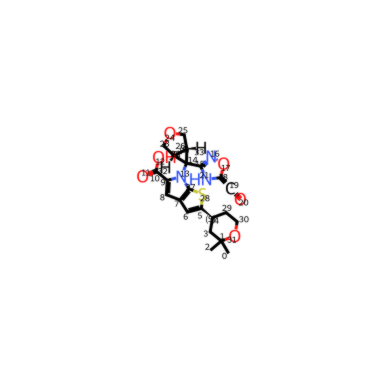 CC1(C)C[C@@H](c2cc3cc(C(=O)O)n(C4(C5=NOC(=C=O)N5)[C@@H]5COC[C@@H]54)c3s2)CCO1